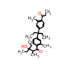 CCC(=O)c1ccc(C(CC)(CC)c2ccc(C(=O)C(C)C(O)(CC)CC)c(C)c2)cc1C